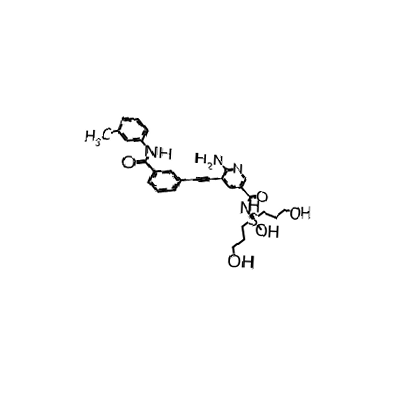 Cc1cccc(NC(=O)c2cccc(C#Cc3cc(C(=O)N=[SH](O)(CCCO)CCCO)cnc3N)c2)c1